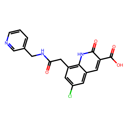 O=C(Cc1cc(Cl)cc2cc(C(=O)O)c(=O)[nH]c12)NCc1cccnc1